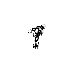 CC(C)n1cc(-c2ccc(Cl)c(CC(NC(=O)C3(C(F)(F)F)CC3)C(=O)Nc3ccc(-c4nncn4C)cc3)c2)ccc1=O